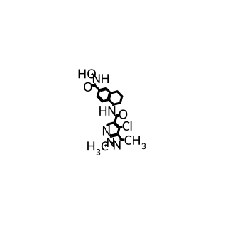 Cc1nn(C)c2ncc(C(=O)NC3CCCc4cc(C(=O)NO)ccc43)c(Cl)c12